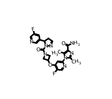 Cc1nc(C(N)=O)c(C)n1-c1cc(OC2CN(C(=O)N3N=CCC3c3cncc(F)c3)C2)c(F)cn1